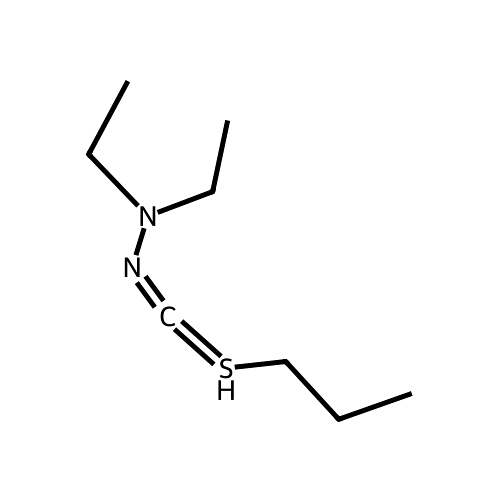 CCC[SH]=C=NN(CC)CC